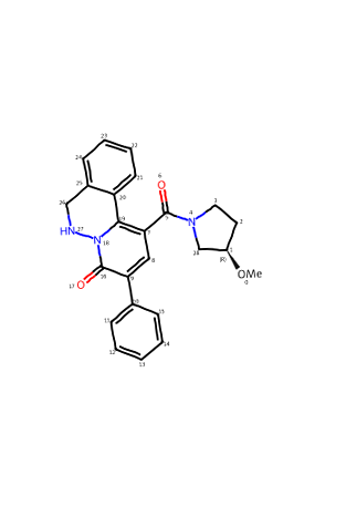 CO[C@@H]1CCN(C(=O)c2cc(-c3ccccc3)c(=O)n3c2-c2ccccc2CN3)C1